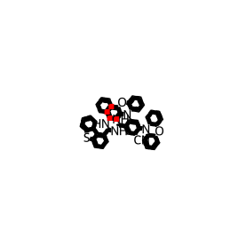 N#CC1C=C(C2NC(C3=CC=CCC3)NC(C3=C4C(=CCC3)SC3=CC=CCC34)N2)C(N2c3ccccc3Oc3ccccc32)=CC1N1C2C=CC=CC2OC2C=CCCC21